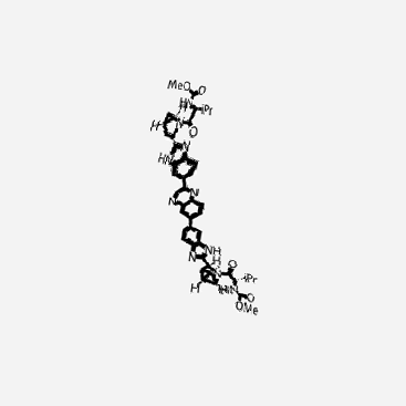 COC(=O)N[C@H](C(=O)N1[C@H](c2nc3ccc(-c4ccc5nc(-c6ccc7nc([C@@H]8C[C@H]9C[C@H]9N8C(=O)[C@@H](NC(=O)OC)C(C)C)[nH]c7c6)cnc5c4)cc3[nH]2)C2[C@@H]3[C@H]1[C@]23C)C(C)C